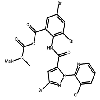 CNN(C)C(=O)OC(=O)c1cc(Br)cc(Br)c1NC(=O)c1cc(Br)nn1-c1ncccc1Cl